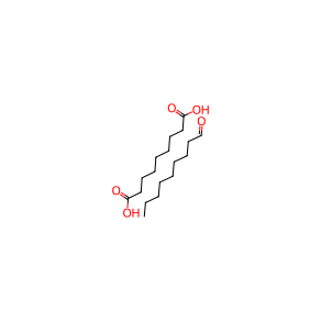 CCCCCCCCC=O.O=C(O)CCCCCCCC(=O)O